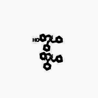 C(=N/N(Cc1ccccc1)Cc1ccccc1)/c1ccccn1.Oc1ccc(/C=N\N(Cc2ccccc2)Cc2ccccc2)cc1